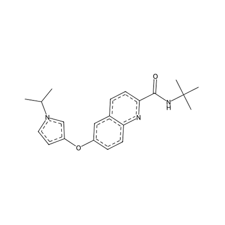 CC(C)n1ccc(Oc2ccc3nc(C(=O)NC(C)(C)C)ccc3c2)c1